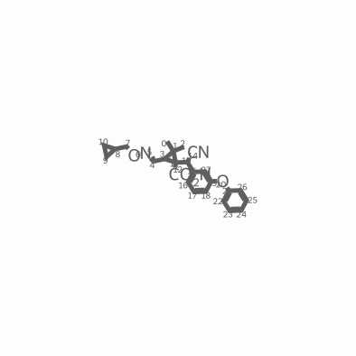 CC1(C)C(C=NOCC2CC2)C1(C(=O)O)C(C#N)c1cccc(Oc2ccccc2)c1